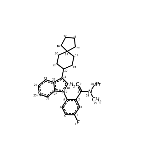 C=C(c1cc(F)ccc1-n1cc(C2CCC3(CCCC3)CC2)c2ccncc21)N(C)C(C)C